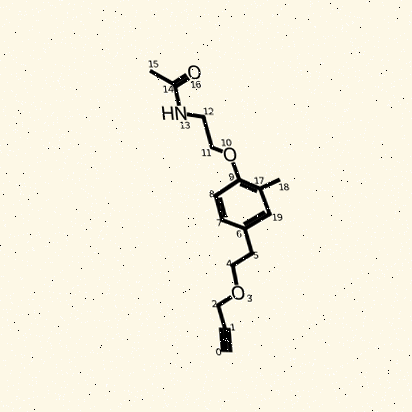 C#CCOCCc1ccc(OCCNC(C)=O)c(C)c1